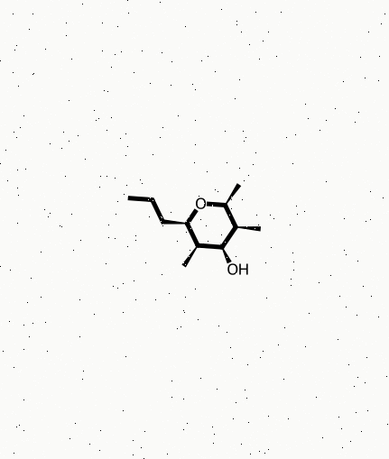 CCC[C@H]1O[C@@H](C)[C@@H](C)[C@@H](O)[C@H]1C